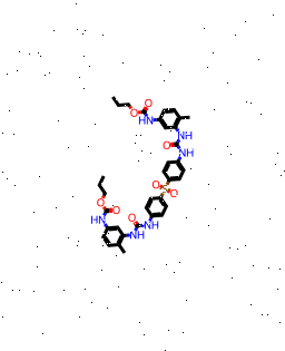 CCCOC(=O)Nc1ccc(C)c(NC(=O)Nc2ccc(S(=O)(=O)c3ccc(NC(=O)Nc4cc(NC(=O)OCCC)ccc4C)cc3)cc2)c1